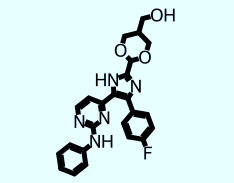 OCC1COC(c2nc(-c3ccc(F)cc3)c(-c3ccnc(Nc4ccccc4)n3)[nH]2)OC1